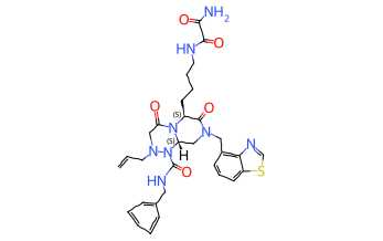 C=CCN1CC(=O)N2[C@@H](CCCCNC(=O)C(N)=O)C(=O)N(Cc3cccc4scnc34)C[C@@H]2N1C(=O)NCc1ccccc1